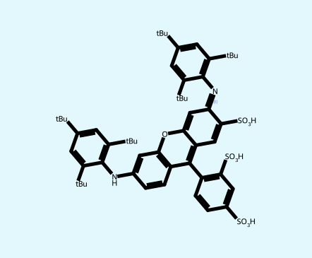 CC(C)(C)c1cc(C(C)(C)C)c(/N=c2\cc3oc4cc(Nc5c(C(C)(C)C)cc(C(C)(C)C)cc5C(C)(C)C)ccc4c(-c4ccc(S(=O)(=O)O)cc4S(=O)(=O)O)c-3cc2S(=O)(=O)O)c(C(C)(C)C)c1